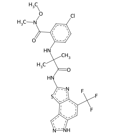 CON(C)C(=O)c1cc(Cl)ccc1NC(C)(C)C(=O)Nc1nc2c(C(F)(F)F)cc3[nH]ncc3c2s1